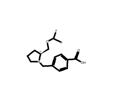 O=C(O)c1ccc(CN2CCC[C@H]2COC(F)F)cc1